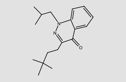 CC(C)Cn1nc(CCC(C)(C)C)c(=O)c2ccccc21